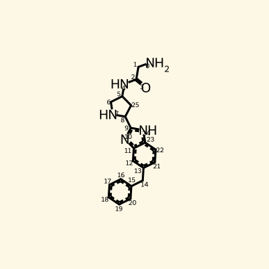 NCC(=O)NC1CNC(c2nc3cc(Cc4ccccc4)ccc3[nH]2)C1